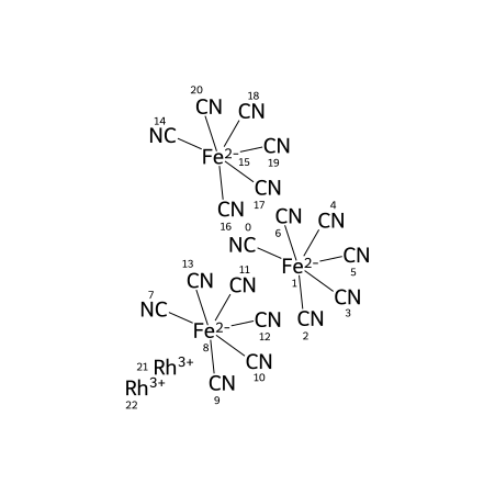 N#[C][Fe-2]([C]#N)([C]#N)([C]#N)([C]#N)[C]#N.N#[C][Fe-2]([C]#N)([C]#N)([C]#N)([C]#N)[C]#N.N#[C][Fe-2]([C]#N)([C]#N)([C]#N)([C]#N)[C]#N.[Rh+3].[Rh+3]